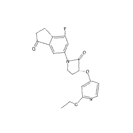 CCOc1cc(O[C@@H]2CCN(c3cc(F)c4c(c3)C(=O)CC4)C2=O)ccn1